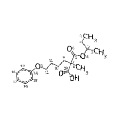 CCC(C)OC(=O)C(C)(CCCCOc1ccccc1)C(=O)O